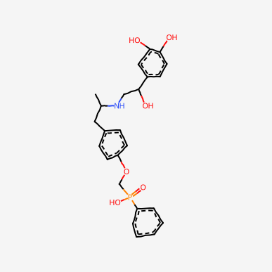 CC(Cc1ccc(OCP(=O)(O)c2ccccc2)cc1)NCC(O)c1ccc(O)c(O)c1